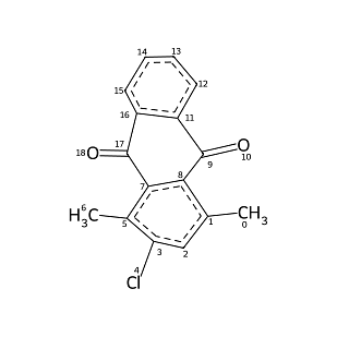 Cc1cc(Cl)c(C)c2c1C(=O)c1ccccc1C2=O